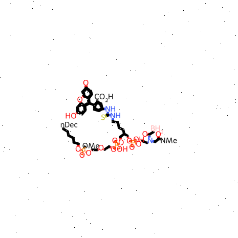 BCC(=O)N(CCOP(=O)(O)OCC(CCCCNC(=S)Nc1ccc(-c2c3ccc(=O)cc-3oc3cc(O)ccc23)c(C(=O)O)c1)COP(=O)(O)OCCOCCOP(=O)(OC)OCCCCCCCCCCCCCCCC)CC(=O)NC